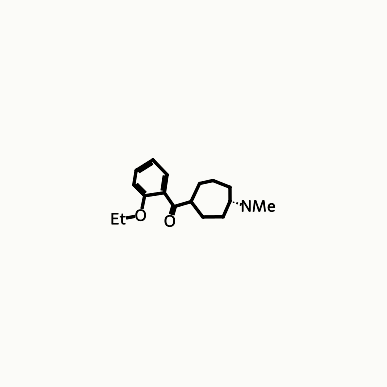 CCOc1ccccc1C(=O)C1CCC[C@H](NC)CC1